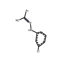 CC(=O)/C(C#N)=N/Nc1cccc(Cl)c1